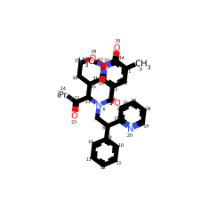 Cc1cc(C(=O)N(CC(c2ccccc2)c2ccccn2)C(C(=O)C(C)C)C2CCOCC2)cn(C)c1=O